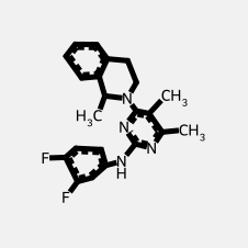 Cc1nc(Nc2ccc(F)c(F)c2)nc(N2CCc3ccccc3C2C)c1C